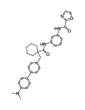 CN(C)c1ccc(-c2ccc(CC3(C(=O)Nc4cccc(NC(=O)c5ncco5)c4)CCCCC3)cc2)cc1